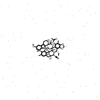 CC[C@H]1c2c3c(c(C)c(OC(C)=O)c2[C@]2(OC(=O)[C@]4(CS2)NCCc2c4[nH]c4ccc(OC)cc24)[C@H]2[C@@H]4N[C@H](Cc5cc(C)c(OC)c(O)c54)[C@H](C#N)N12)OCO3